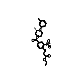 CCOC(=O)CSc1ccc(C(=O)N2CCN(c3cccc(C)c3)[C@@H](C)C2)cc1[N+](=O)[O-]